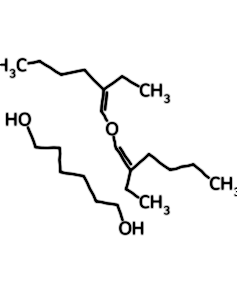 CCCCC(=COC=C(CC)CCCC)CC.OCCCCCCO